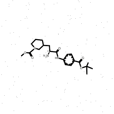 COC(=O)N1CCCC(C[C@H](N)C(=O)Nc2ccc(C(=O)OC(C)(C)C)cc2)C1